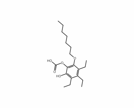 CCCCCCCOc1c(CC)c(CC)c(CC)c(O)c1OC(=O)O